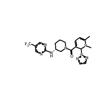 CC1=CC=C(C(=O)N2CCC[C@@H](Nc3ncc(C(F)(F)F)cn3)C2)C(n2nccn2)N1C